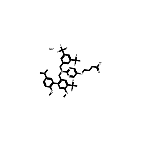 COc1ccc(C(C)C)cc1-c1cc(OC)c(C(F)(F)F)cc1CN(Cc1cc(C(F)(F)F)cc(C(F)(F)F)c1)c1ncc(OCCCC(=O)[O-])cn1.[Na+]